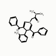 Cc1ccccc1C1C(C(=O)c2ccccc2)=CN(CC(=O)N(C)C)C=C1C(=O)c1ccccc1